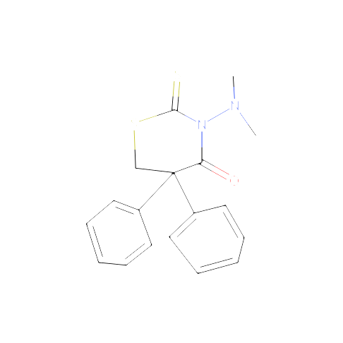 CN(C)N1C(=O)C(c2ccccc2)(c2ccccc2)CSC1=S